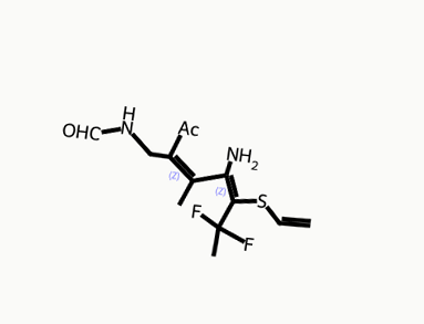 C=CS/C(=C(N)/C(C)=C(/CNC=O)C(C)=O)C(C)(F)F